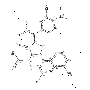 CN(C)c1ncc(N([C@H]2CCN([C@H](Cc3cc4ccnc(N)c4cc3Cl)C(=O)O)C2=O)[SH](=O)=O)cc1Cl